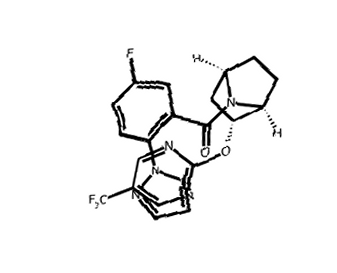 O=C(c1cc(F)ccc1-n1nccn1)N1[C@@H]2CC[C@H]1[C@H](Oc1ncc(C(F)(F)F)cn1)C2